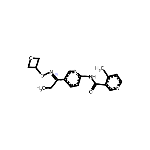 CC/C(=N\OC1COC1)c1ccc(NC(=O)c2cnccc2C)nc1